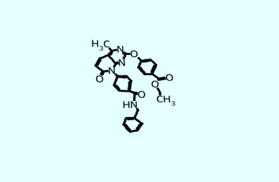 CCOC(=O)c1ccc(Oc2nc(C)c3ccc(=O)n(-c4ccc(C(=O)NCc5ccccc5)cc4)c3n2)cc1